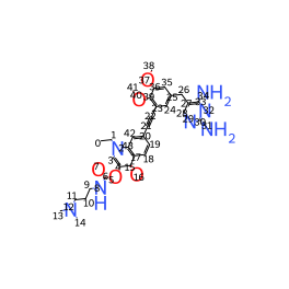 CCn1cc(OC(=O)NCCCN(C)C)c(=O)c2ccc(C#Cc3cc(Cc4cnc(N)nc4N)cc(OC)c3OC)cc21